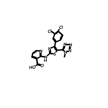 Cn1nnnc1-c1sc(Nc2ncccc2C(=O)O)nc1-c1ccc(Cl)c(Cl)c1